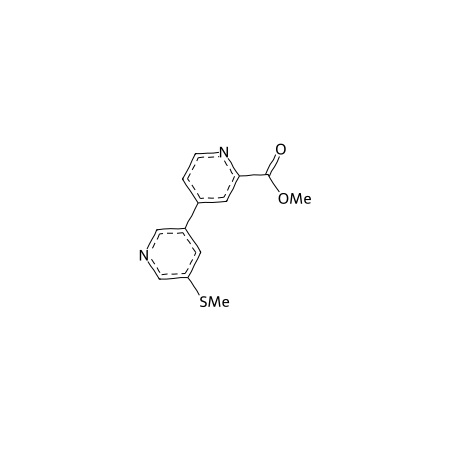 COC(=O)c1cc(-c2cncc(SC)c2)ccn1